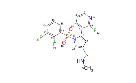 CNCc1cc(-c2cccnc2F)n(S(=O)(=O)c2cccc(F)c2F)c1